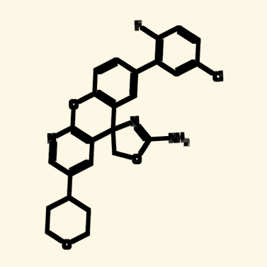 NC1=NC2(CO1)c1cc(-c3cc(Cl)ccc3F)ccc1Oc1ncc(C3CCOCC3)cc12